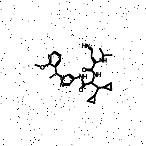 COc1ncccc1[C@H](C)n1cc(NC(=O)C(NC(=O)/C(=C/C=N)NC(C)C)C(C2CC2)C2CC2)cn1